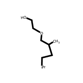 CC(C)CCC(C)COCCO